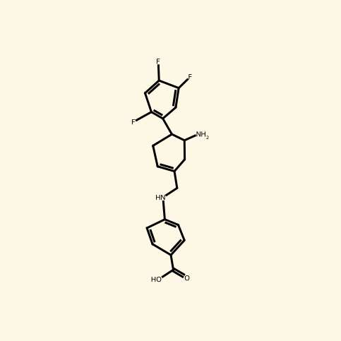 NC1CC(CNc2ccc(C(=O)O)cc2)=CCC1c1cc(F)c(F)cc1F